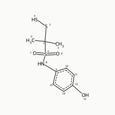 CC(C)(SS)S(=O)(=O)Nc1ccc(O)cc1